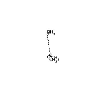 C=C(C)C(=O)OCCCCCCCCCCCCCCCCCC([SiH3])(I)I